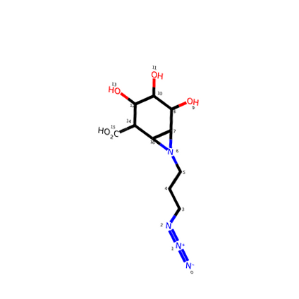 [N-]=[N+]=NCCCN1C2C(O)C(O)C(O)C(C(=O)O)C21